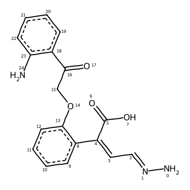 NN=CC=C(C(=O)O)c1ccccc1OCC(=O)c1ccccc1N